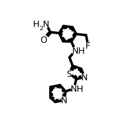 NC(=O)c1ccc(CF)c(NCc2cnc(Nc3ccccn3)s2)c1